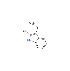 CNCc1c(C(C)C)[nH]c2ccccc12